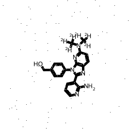 [2H]C([2H])([2H])N(c1ccc2nc(-c3cccnc3N)n(-c3ccc(CO)cc3)c2n1)C([2H])([2H])[2H]